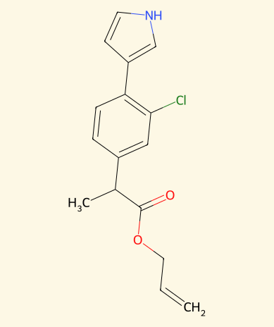 C=CCOC(=O)C(C)c1ccc(-c2cc[nH]c2)c(Cl)c1